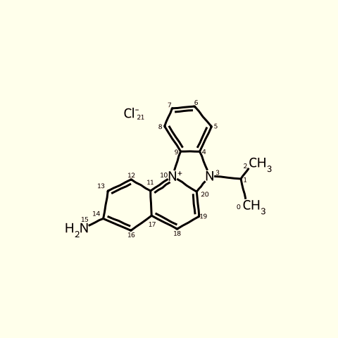 CC(C)n1c2ccccc2[n+]2c3ccc(N)cc3ccc12.[Cl-]